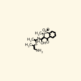 C=C(N/C(O)=C1/C(=O)c2ccccc2S(=O)(=O)N1C)S/C(C)=C\N